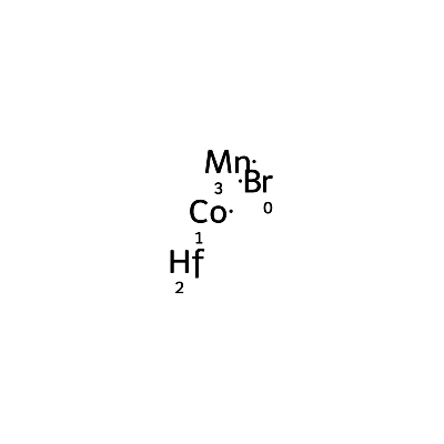 [Br].[Co].[Hf].[Mn]